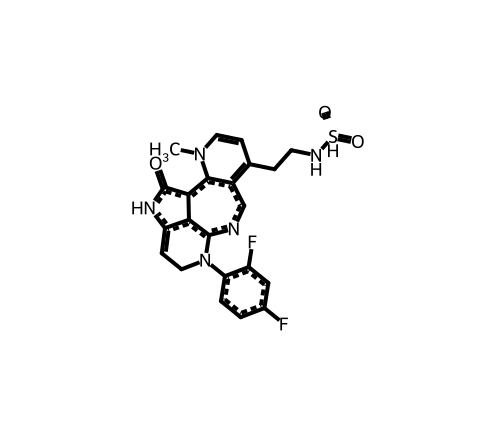 CN1C=CC(CCN[SH](=O)=O)=c2cnc3c4c([nH]c(=O)c-4c21)=CCN3c1ccc(F)cc1F